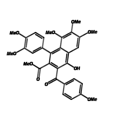 COC(=O)c1c(C(=O)c2ccc(OC)cc2)c(O)c2cc(OC)c(OC)c(OC)c2c1-c1ccc(OC)c(OC)c1